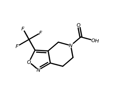 O=C(O)N1CCc2noc(C(F)(F)F)c2C1